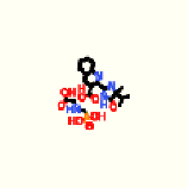 CC(C)C1(C)N=C(c2nc3ccccc3cc2C(=O)O)NC1=O.O=C(O)CNCP(=O)(O)O